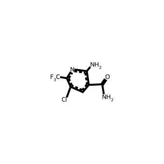 NC(=O)c1cc(Cl)c(C(F)(F)F)nc1N